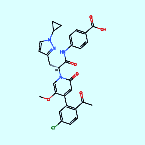 COc1cn([C@H](Cc2ccn(C3CC3)n2)C(=O)Nc2ccc(C(=O)O)cc2)c(=O)cc1-c1cc(Cl)ccc1C(C)=O